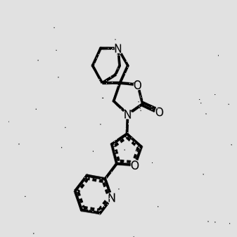 O=C1OC2(CN3CCC2CC3)CN1c1coc(-c2ccccn2)c1